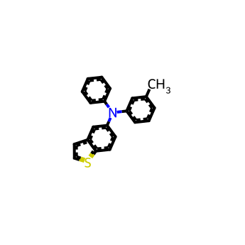 Cc1cccc(N(c2ccccc2)c2ccc3sccc3c2)c1